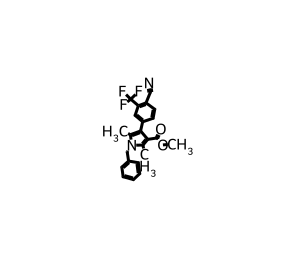 COC(=O)c1c(-c2ccc(C#N)c(C(F)(F)F)c2)c(C)n(Cc2ccccc2)c1C